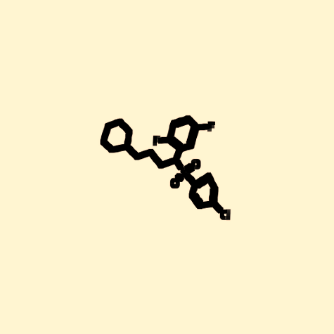 O=S(=O)(c1ccc(Cl)cc1)C(CCCC1CCCCC1)c1cc(F)ccc1F